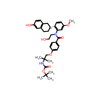 COc1ccc([C@@H]2CCc3cc(O)ccc3C2)c(N(CCO)C(=O)c2ccc(OCC(C)(C)NC(=O)OC(C)(C)C)cc2)c1